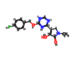 CN1CC(c2ncnc(OCc3ccc(F)cc3)n2)=C(O)C1=O